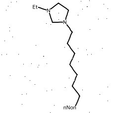 CCCCCCCCCCCCCCCCN1CCN(CC)C1